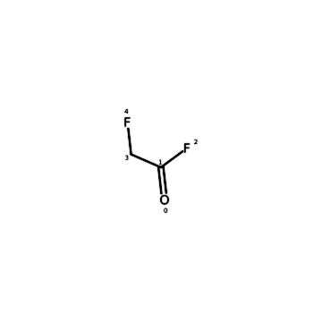 O=C(F)CF